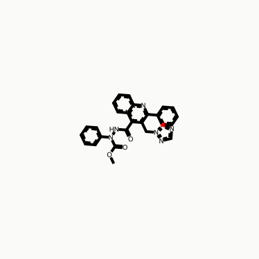 COC(=O)N(NC(=O)c1c(Cn2ncnn2)c(-c2ccccc2)nc2ccccc12)c1ccccc1